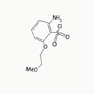 COCCOc1cccc(N)c1S(=O)(=O)Cl